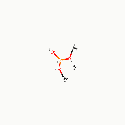 CC(C)OP([O-])OC(C)C.[K+]